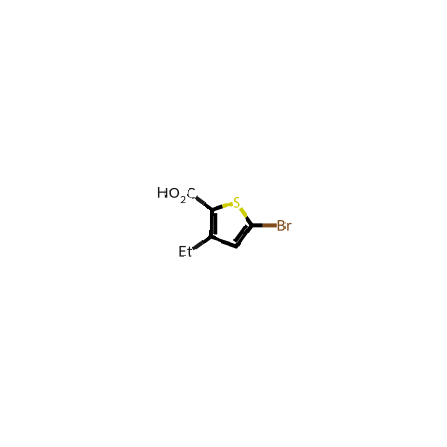 CCc1cc(Br)sc1C(=O)O